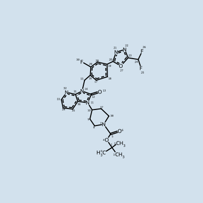 CC(C)(C)OC(=O)N1CCC(n2c(=O)n(Cc3ccc(-c4nnc(C(F)F)o4)cc3F)c3ncccc32)CC1